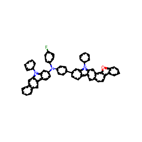 Fc1ccc(N(c2ccc(-c3ccc4c5cc6ccc7c8ccccc8oc7c6cc5n(-c5ccccc5)c4c3)cc2)c2ccc3c4cc5ccccc5cc4n(-c4ccccc4)c3c2)cc1